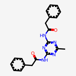 Cc1nc(NC(=O)Cc2ccccc2)nc(NC(=O)Cc2ccccc2)n1